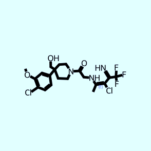 COc1cc(C2(CO)CCN(C(=O)CN/C(C)=C(/Cl)C(=N)C(F)(F)F)CC2)ccc1Cl